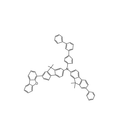 CC1(C)c2cc(-c3ccccc3)ccc2-c2ccc(N(c3ccc(-c4cccc(-c5ccccc5)c4)cc3)c3ccc4c(c3)C(C)(C)c3cc(-c5cccc6c5oc5ccccc56)ccc3-4)cc21